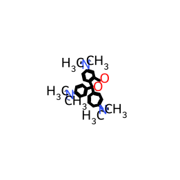 CN(C)C1=CC=C(C2(c3ccc(N(C)C)cc3)OC(=O)c3cc(N(C)C)ccc32)C=CC1